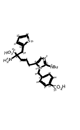 CCCCc1ncc(CC=CC(N)(Cc2cccs2)C(=O)O)n1Cc1ccc(C(=O)O)cc1